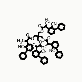 C=C(C(=O)OCC(COC(=O)C(=C)c1cccc(-c2ccccc2)c1C#N)(COC(=O)C(=C)c1cccc(-c2ccccc2)c1C#N)COC(=O)C(=C)c1cccc(-c2ccccc2)c1C#N)c1cccc(-c2ccccc2)c1C#N